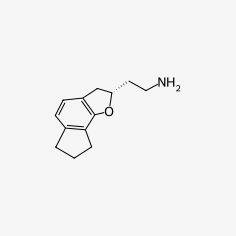 NCC[C@H]1Cc2ccc3c(c2O1)CCC3